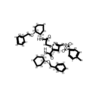 Cc1ccc(S(=O)(=O)Nc2cc(C(=O)N[C@H]3CCCC[C@@H]3OCc3ccccc3)n(CC(=O)N[C@H]3CCCC[C@@H]3OCc3ccccc3)n2)cc1